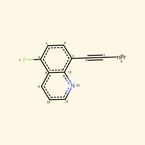 CCCC#Cc1ccc(F)c2cccnc12